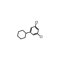 Clc1cc(Cl)cc([C]2CCCCC2)c1